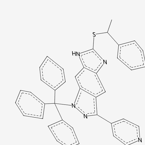 CC(Sc1nc2cc3c(-c4ccncc4)nn(C(c4ccccc4)(c4ccccc4)c4ccccc4)c3cc2[nH]1)c1ccccc1